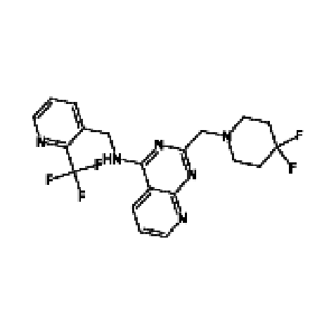 FC1(F)CCN(Cc2nc(NCc3cccnc3C(F)(F)F)c3cccnc3n2)CC1